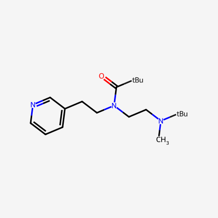 CN(CCN(CCc1cccnc1)C(=O)C(C)(C)C)C(C)(C)C